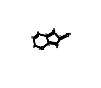 O=C1N=C2C=CCOC2=N1